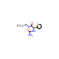 CCOC(=O)C[N]C(=O)C(NC(N)=O)c1cccs1